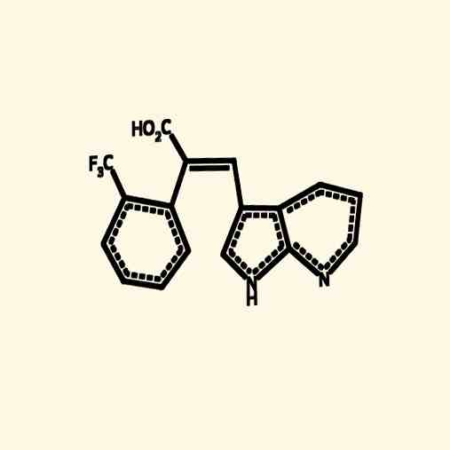 O=C(O)C(=Cc1c[nH]c2ncccc12)c1ccccc1C(F)(F)F